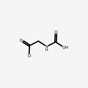 O=C(Cl)CNC(=O)O